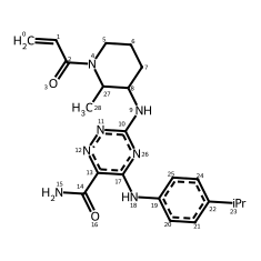 C=CC(=O)N1CCCC(Nc2nnc(C(N)=O)c(Nc3ccc(C(C)C)cc3)n2)C1C